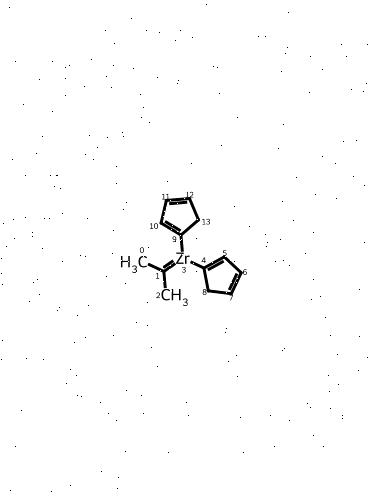 C[C](C)=[Zr]([C]1=CC=CC1)[C]1=CC=CC1